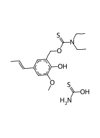 CC=Cc1cc(COC(=S)N(CC)CC)c(O)c(OC)c1.NC(O)=S